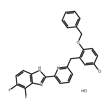 Cl.Fc1ccc2[nH]c(-c3cccc(Cc4cc(Cl)ccc4OCc4ccccc4)n3)nc2c1F